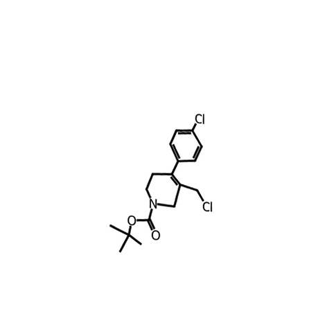 CC(C)(C)OC(=O)N1CCC(c2ccc(Cl)cc2)=C(CCl)C1